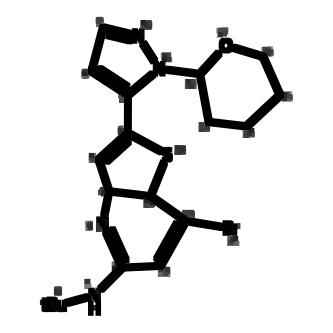 CC(C)(C)NC1=NC2C=C(c3ccnn3C3CCCCO3)SC2C(Br)=C1